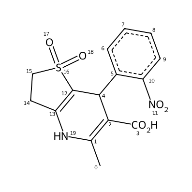 CC1=C(C(=O)O)C(c2ccccc2[N+](=O)[O-])C2=C(CCS2(=O)=O)N1